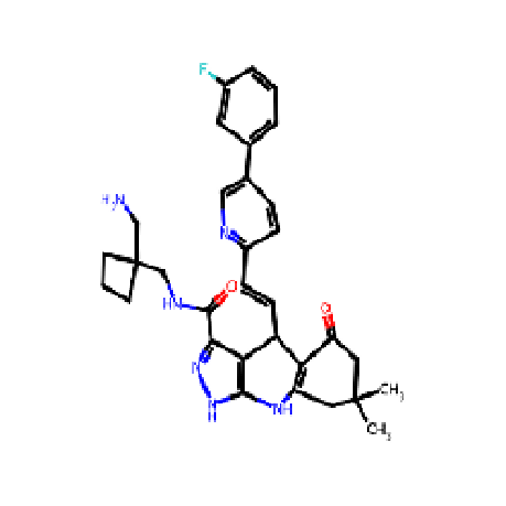 CC1(C)CC(=O)C2=C(C1)Nc1[nH]nc(C(=O)NCC3(CN)CCC3)c1C2/C=C/c1ccc(-c2cccc(F)c2)cn1